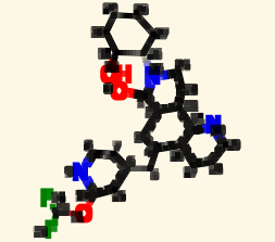 O=c1c2cc(Cc3ccnc(OC(F)F)c3)c3cccnc3c2ccn1[C@H]1CCCC[C@@H]1O